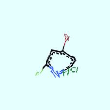 Cl.Fc1cc(Br)ccn1